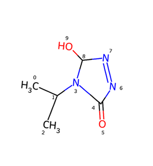 CC(C)N1C(=O)N=NC1O